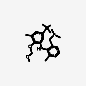 COCOc1c(C)cc(C(C)(C)C)cc1Pc1c(C)cccc1CP(C)C